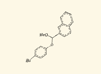 CCC(C)c1ccc(OC(OC)c2ccc3ccccc3c2)cc1